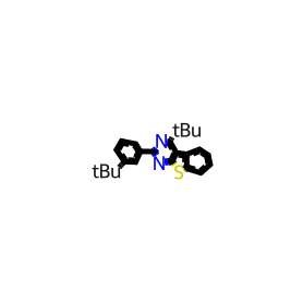 CC(C)(C)c1cccc(-c2nc(C(C)(C)C)c3c(n2)sc2ccccc23)c1